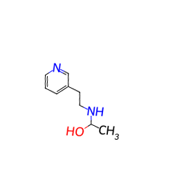 CC(O)NCCc1cccnc1